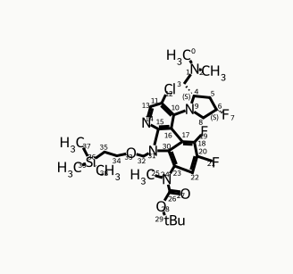 CN(C)C[C@@H]1C[C@H](F)CN1c1c(Cl)cnc2c1c1c(F)c(F)cc(N(C)C(=O)OC(C)(C)C)c1n2COCC[Si](C)(C)C